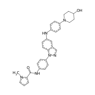 Cn1cccc1C(=O)Nc1ccc(-n2ncc3cc(Nc4ccc(N5CCC(O)CC5)cc4)ccc32)cc1